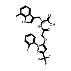 Cc1cccc2c(C[C@H](NC(=O)COc3cc(C(F)(F)F)nn3-c3ccccc3Cl)C(=O)O)c[nH]c12